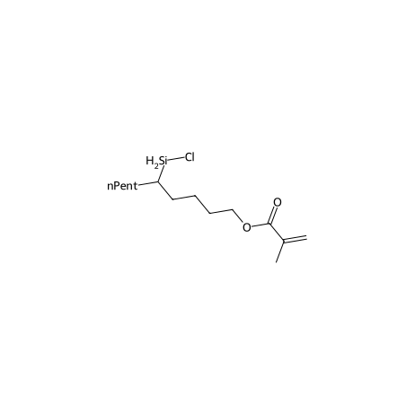 C=C(C)C(=O)OCCCCC(CCCCC)[SiH2]Cl